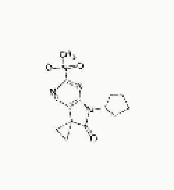 CS(=O)(=O)c1ncc2c(n1)N(C1CCCC1)C(=O)C21CC1